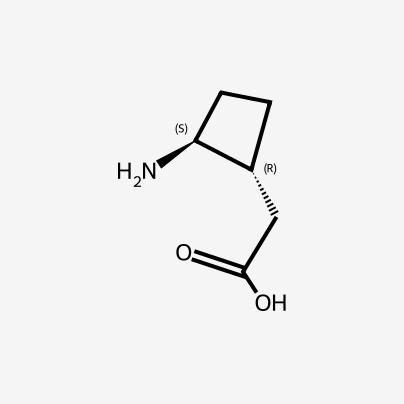 N[C@H]1CC[C@@H]1CC(=O)O